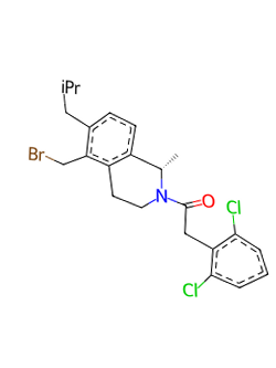 CC(C)Cc1ccc2c(c1CBr)CCN(C(=O)Cc1c(Cl)cccc1Cl)[C@H]2C